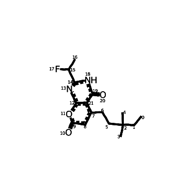 CCC(C)(C)CCc1cc(=O)oc2nc(C(C)F)[nH]c(=O)c12